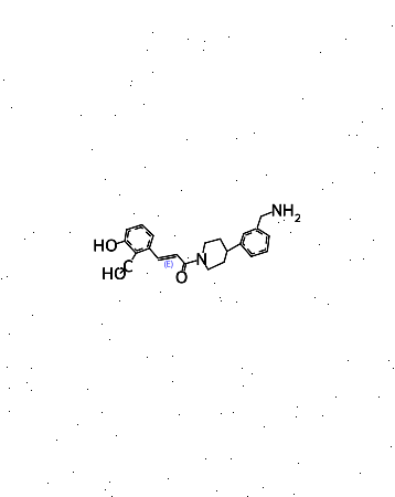 NCc1cccc(C2CCN(C(=O)/C=C/c3cccc(O)c3CO)CC2)c1